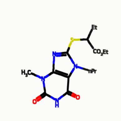 CCCn1c(SC(CC)C(=O)OCC)nc2c1c(=O)[nH]c(=O)n2C